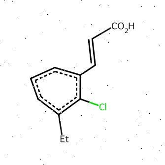 CCc1cccc(/C=C/C(=O)O)c1Cl